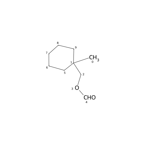 CC1(COC=O)CCCCC1